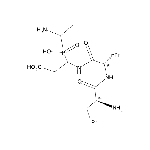 CCC[C@H](NC(=O)[C@@H](N)CC(C)C)C(=O)NC(CC(=O)O)P(=O)(O)C(C)N